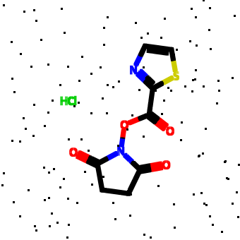 Cl.O=C(ON1C(=O)CCC1=O)c1nccs1